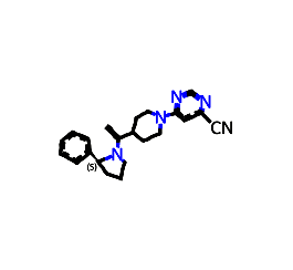 C=C(C1CCN(c2cc(C#N)ncn2)CC1)N1CCC[C@H]1c1ccccc1